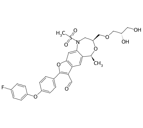 C[C@@H]1O[C@H](COC[C@@H](O)CO)CN(S(C)(=O)=O)c2cc3oc(-c4ccc(Oc5ccc(F)cc5)cc4)c(C=O)c3cc21